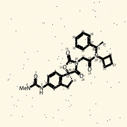 CNC(=O)Nc1ccc2c(c1)CC[C@@]21OC(=O)N(CC(=O)N(C2CCC2)[C@H](C)c2ccccc2)C1=O